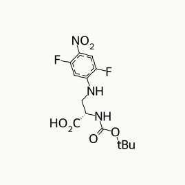 CC(C)(C)OC(=O)N[C@@H](CNc1cc(F)c([N+](=O)[O-])cc1F)C(=O)O